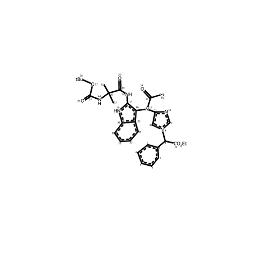 CCOC(=O)C(c1ccccc1)n1cnc(N(C(=O)CC)c2c(NC(=O)C(C)(C)NC(=O)OC(C)(C)C)[nH]c3ccccc23)c1